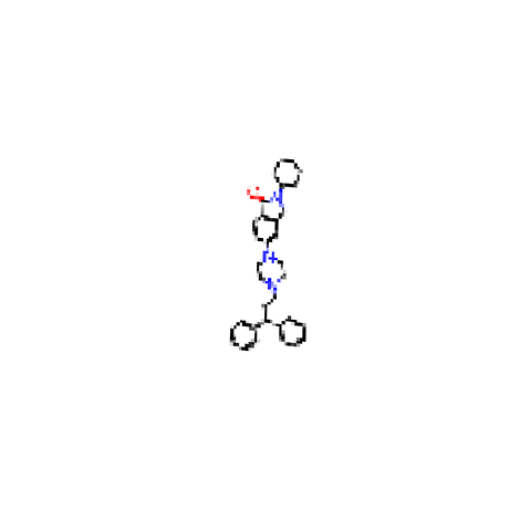 O=C1c2ccc(N3CCN(CCC(c4ccccc4)c4ccccc4)CC3)cc2CN1C1CCCCC1